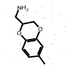 Cc1ccc2c(c1)OCC(CN)O2